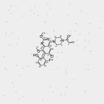 C=CC(=O)N1CCN(c2nc(OC)nc3c(OC)c(-c4c(O)cccc4F)c(Cl)cc23)CC1